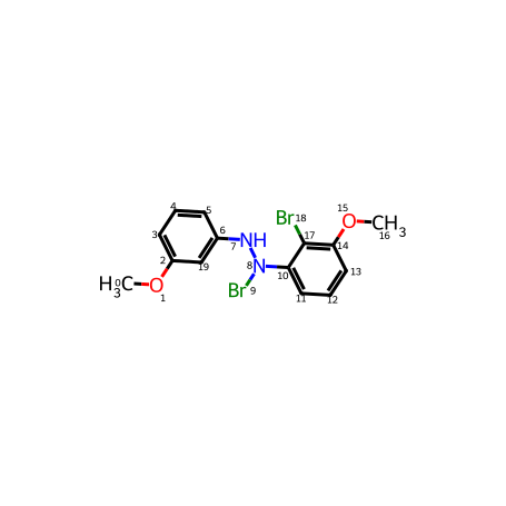 COc1cccc(NN(Br)c2cccc(OC)c2Br)c1